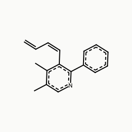 C=C/C=C\c1c(-c2ccccc2)ncc(C)c1C